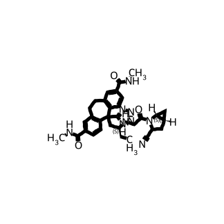 CC[C@@H](CC1(c2nnn[nH]2)c2ccc(C(=O)NC)cc2CCc2cc(C(=O)NC)ccc21)NCC(=O)N1C(C#N)C[C@@H]2C[C@@H]21